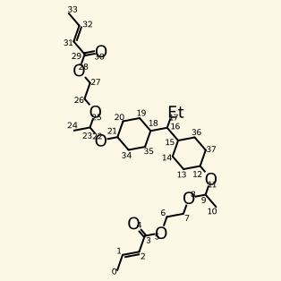 CC=CC(=O)OCCOC(C)OC1CCC(C(CC)C2CCC(OC(C)OCCOC(=O)C=CC)CC2)CC1